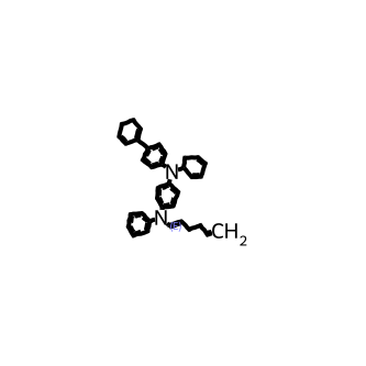 C=CCC/C=C/N(c1ccccc1)c1ccc(N(c2ccc(C3=CCCC=C3)cc2)C2C=CC=CC2)cc1